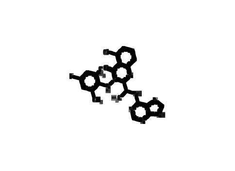 Cc1cc(F)cc(C)c1Nn1c(C(C)Nc2ncnc3[nH]cnc23)nc2cccc(Cl)c2c1=O